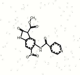 COC(=O)C1C(=O)Nc2cc([N+](=O)[O-])c(NC(=O)c3ccncc3)cc21